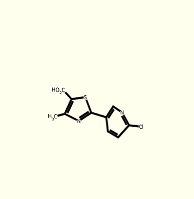 Cc1nc(-c2ccc(Cl)nc2)sc1C(=O)O